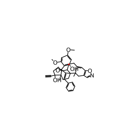 C#CC1(O)CCC2C3CCC4=Cc5oncc5CC4(C)C3(C(=Cc3ccccc3)C(=O)c3c(O)cc(OC)cc3OC)CCC21C